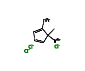 CCCC1=CC=C[C]1(C)[V+3].[Cl-].[Cl-].[Cl-]